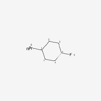 CCCC1CCC(F)CC1